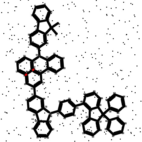 CC1(C)c2ccccc2-c2ccc(N(c3ccccc3)c3ccccc3-c3cccc(-c4ccc5c6ccccc6n(-c6ccc(-c7cccc8c7-c7ccccc7C8(c7ccccc7)c7ccccc7)cc6)c5c4)c3)cc21